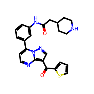 O=C(CC1CCNCC1)Nc1cccc(-c2ccnc3c(C(=O)c4cccs4)cnn23)c1